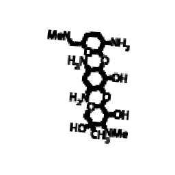 CNCC1CCC(N)C(OC2C(N)CC(N)C(OC3OCC(C)(O)C(NC)C3O)C2O)O1